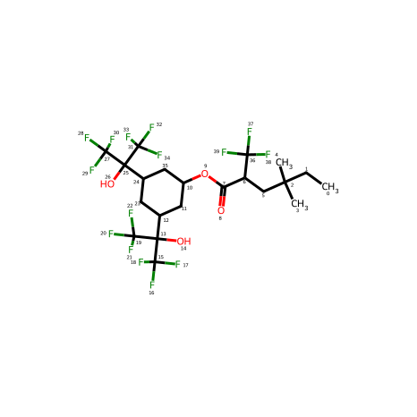 CCC(C)(C)CC(C(=O)OC1CC(C(O)(C(F)(F)F)C(F)(F)F)CC(C(O)(C(F)(F)F)C(F)(F)F)C1)C(F)(F)F